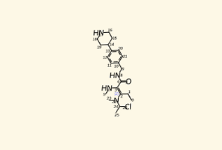 CC/C(=C(/NC)C(=O)NCc1ccc(C2CCNCC2)cc1)N(C)C(C)Cl